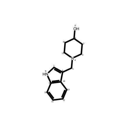 OC1CCN(Cc2c[nH]c3[c]cccc23)CC1